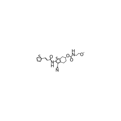 COCCNC(=O)OC1CCc2c(sc(NC(=O)C=Cc3cccs3)c2C#N)C1